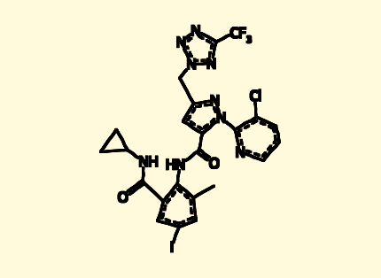 Cc1cc(I)cc(C(=O)NC2CC2)c1NC(=O)c1cc(Cn2nnc(C(F)(F)F)n2)nn1-c1ncccc1Cl